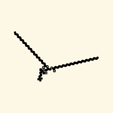 CCCCCCCCCCCCCCCCCCCCCCCC(=O)OCC(COP(=O)(O)OCC[N+](C)(C)C)OC(=O)CCCCCCCCCCCCCCCCCCCCCCC